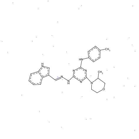 Cc1ccc(Nc2nc(N/N=C/c3c[nH]c4ccccc34)nc(N3CCOCC3C)n2)cc1